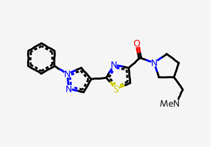 CNCC1CCN(C(=O)c2csc(-c3cnn(-c4ccccc4)c3)n2)C1